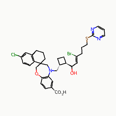 O=C(O)c1ccc2c(c1)N(C[C@@H]1CC[C@H]1C(O)/C=C(\Br)CCCSc1ncccn1)CC1(CCCc3cc(Cl)ccc31)CO2